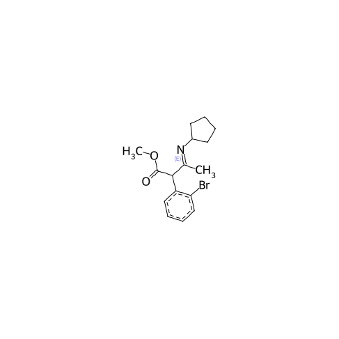 COC(=O)C(/C(C)=N/C1CCCC1)c1ccccc1Br